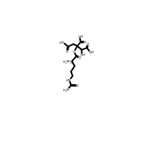 NC(=O)NCCC[C@H](N)C(=O)OC(CC(=O)O)(C(=O)O)C(O)C(=O)O